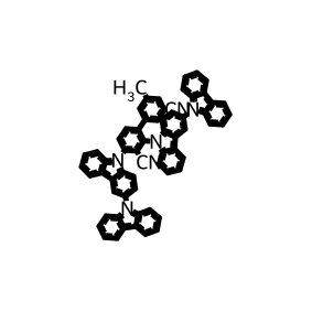 Cc1cc(C#N)cc(-c2ccc(-n3c4ccccc4c4cc(-n5c6ccccc6c6ccccc65)ccc43)c(C#N)c2-n2c3ccccc3c3cc(-n4c5ccccc5c5ccccc54)ccc32)c1